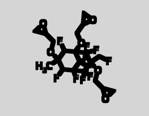 CC1(OCC2CO2)C(F)C2(F)C(F)(F)C(CF)(OCC3CO3)C(F)(F)C(OCC3CO3)(C1F)C2(F)F